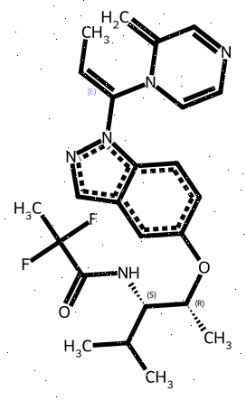 C=C1C=NC=CN1/C(=C\C)n1ncc2cc(O[C@H](C)[C@@H](NC(=O)C(C)(F)F)C(C)C)ccc21